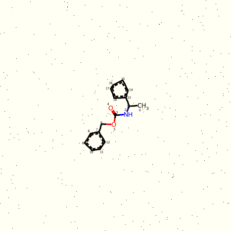 C[C](NC(=O)OCc1ccccc1)c1ccccc1